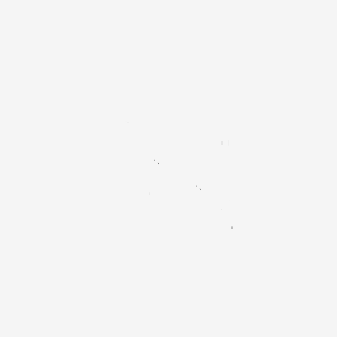 O=C(O)CCN(CCN(CC(=O)O)CC(=O)O)CC(=O)O